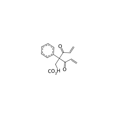 C=CC(=O)C(CC(=O)O)(C(=O)C=C)c1ccccc1